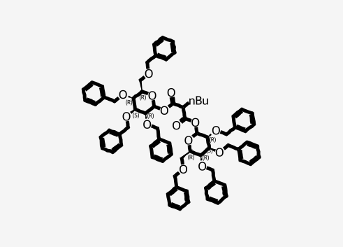 CCCCC(C(=O)OC1O[C@H](COCc2ccccc2)[C@@H](OCc2ccccc2)[C@H](OCc2ccccc2)[C@H]1OCc1ccccc1)C(=O)OC1O[C@H](COCc2ccccc2)[C@@H](OCc2ccccc2)[C@H](OCc2ccccc2)[C@H]1OCc1ccccc1